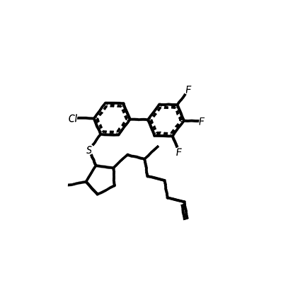 C=CCCCC(C)CC1CCC(C)C1Sc1cc(-c2cc(F)c(F)c(F)c2)ccc1Cl